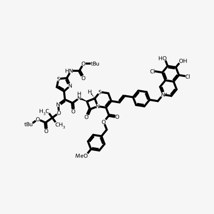 COc1ccc(COC(=O)C2=C(/C=C/c3ccc(C[n+]4ccc5c(Cl)c(O)c(O)c(Cl)c5c4)cc3)CS[C@@H]3[C@H](NC(=O)/C(=N\OC(C)(C)C(=O)OC(C)(C)C)c4csc(NC(=O)OC(C)(C)C)n4)C(=O)N23)cc1